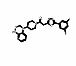 O=C(Cc1nnc(-c2cc(F)cc(F)c2)o1)N1CCC(N2CONc3ncccc32)CC1